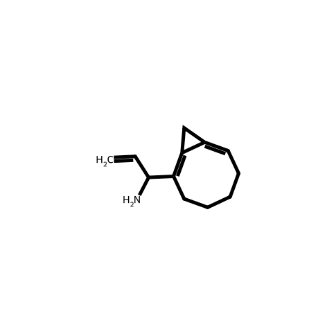 C=CC(N)/C1=C2\C\C2=C\CCCC1